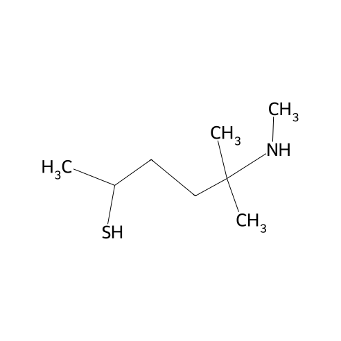 CNC(C)(C)CCC(C)S